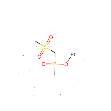 CCOP(C)(=O)CS(C)(=O)=O